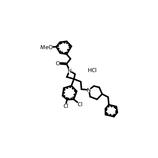 COc1cccc(CC(=O)N2CC(CCN3CCC(Cc4ccccc4)CC3)(c3ccc(Cl)c(Cl)c3)C2)c1.Cl